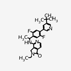 CCN1Cc2c(ccnc2NC(C)c2cc(F)c(-c3cncc(C(C)(C)C)c3)cc2F)C1=O